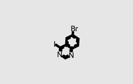 Brc1ccc2ncnc(I)c2c1